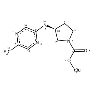 CC(C)(C)OC(=O)N1CC[C@H](Nc2cnc(C(F)(F)F)cn2)C1